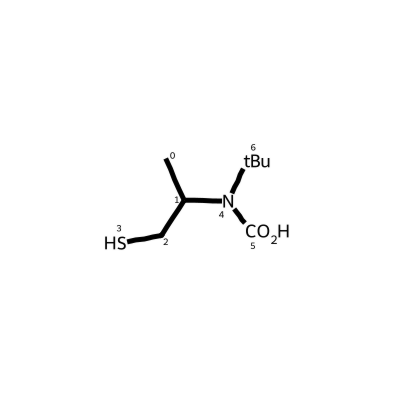 CC(CS)N(C(=O)O)C(C)(C)C